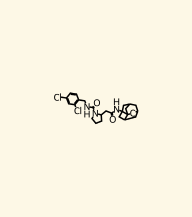 O=C(CC1CCCN1C(=O)NCc1ccc(Cl)cc1Cl)NC12CC3CC4CC(C1)C2(C4)C3